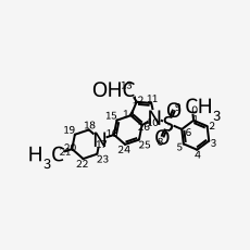 Cc1ccccc1S(=O)(=O)n1cc(C=O)c2cc(N3CCC(C)CC3)ccc21